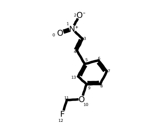 O=[N+]([O-])C=Cc1cccc(OCF)c1